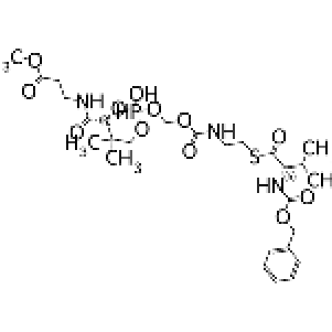 COC(=O)CCNC(=O)[C@@H]1O[PH](O)(OCOC(=O)NCCSC(=O)[C@@H](NC(=O)OCc2ccccc2)C(C)C)OCC1(C)C